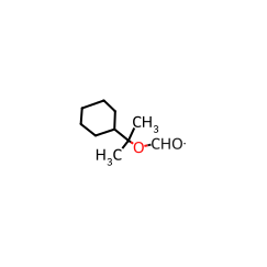 CC(C)(O[C]=O)C1CCCCC1